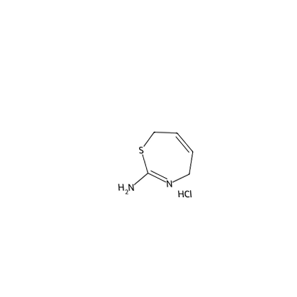 Cl.NC1=NCC=CCS1